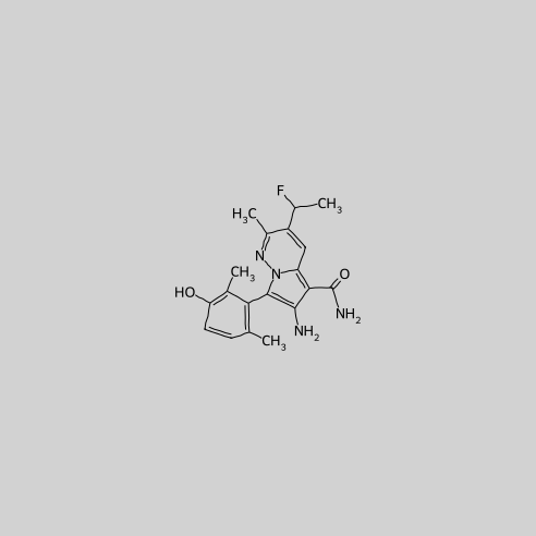 Cc1ccc(O)c(C)c1-c1c(N)c(C(N)=O)c2cc(C(C)F)c(C)nn12